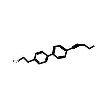 CCCC#Cc1ccc(-c2ccc(CCN)cc2)cc1